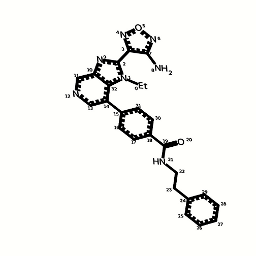 CCn1c(-c2nonc2N)nc2cncc(-c3ccc(C(=O)NCCc4ccccc4)cc3)c21